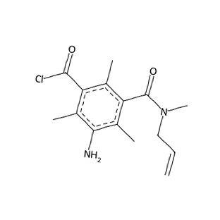 C=CCN(C)C(=O)c1c(C)c(N)c(C)c(C(=O)Cl)c1C